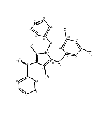 Cc1c([C@H](O)c2ccccc2)c(C(C)C)c(Sc2cc(Cl)cc(Cl)c2)n1Cc1ccncc1